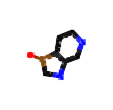 [O-][s+]1cnc2cnccc21